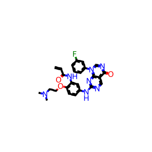 C=CC(=O)Nc1cc(Nc2ncc3c(=O)ncn(-c4cccc(F)c4)c3n2)ccc1OCCN(C)C